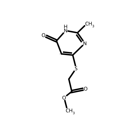 COC(=O)CSc1[c]c(=O)[nH]c(C)n1